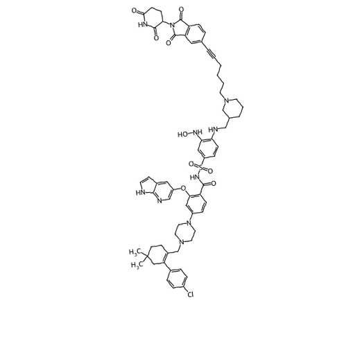 CC1(C)CCC(CN2CCN(c3ccc(C(=O)NS(=O)(=O)c4ccc(NCC5CCCN(CCCCC#Cc6ccc7c(c6)C(=O)N(C6CCC(=O)NC6=O)C7=O)C5)c(NO)c4)c(Oc4cnc5[nH]ccc5c4)c3)CC2)=C(c2ccc(Cl)cc2)C1